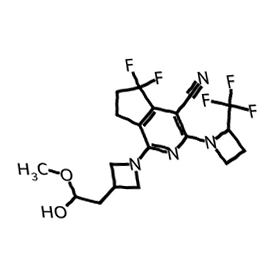 COC(O)CC1CN(c2nc(N3CCC3C(F)(F)F)c(C#N)c3c2CCC3(F)F)C1